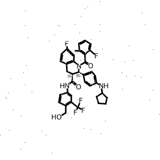 Cc1cccc(F)c1C(=O)N1c2cc(F)ccc2C[C@H](C(=O)Nc2ccc(CO)c(C(F)(F)F)c2)[C@@H]1c1ccc(NC2CCCC2)cc1